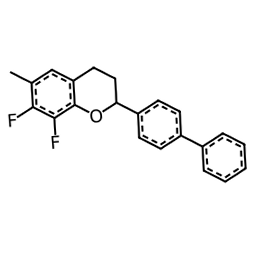 Cc1cc2c(c(F)c1F)OC(c1ccc(-c3ccccc3)cc1)CC2